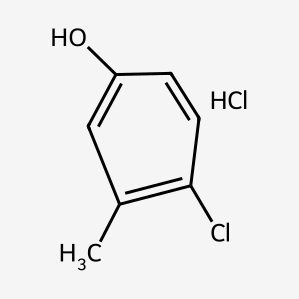 Cc1cc(O)ccc1Cl.Cl